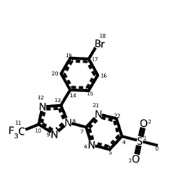 CS(=O)(=O)c1cnc(-n2nc(C(F)(F)F)nc2-c2ccc(Br)cc2)nc1